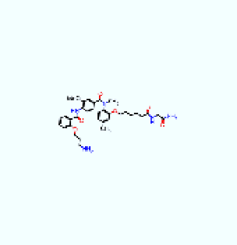 COc1cc(C(=O)N(C)c2ccc(C)cc2OCCCCCC(=O)NCC(N)=O)ccc1NC(=O)c1ccccc1OCCCN